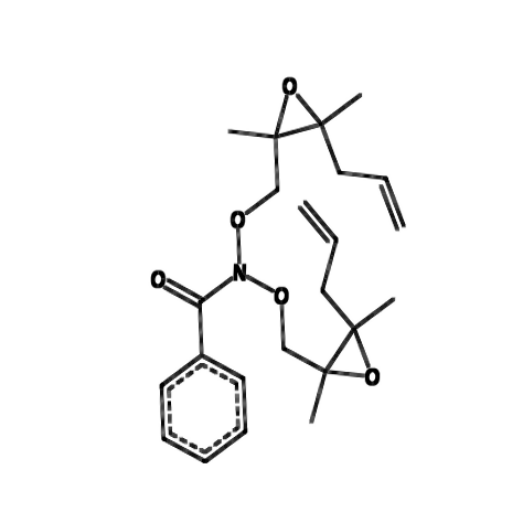 C=CCC1(C)OC1(C)CON(OCC1(C)OC1(C)CC=C)C(=O)c1ccccc1